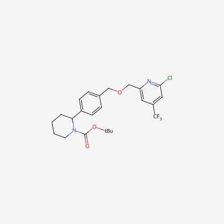 CC(C)(C)OC(=O)N1CCCCC1c1ccc(COCc2cc(C(F)(F)F)cc(Cl)n2)cc1